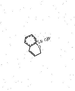 C1=Cc2ccccc2OC1.[Co].[SiH4].[W]